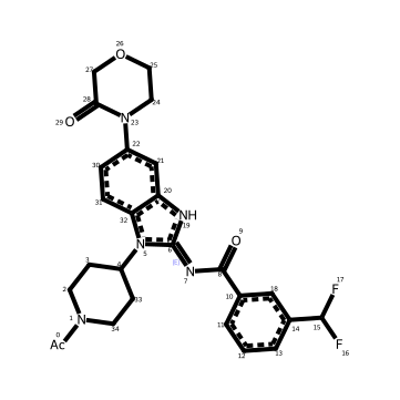 CC(=O)N1CCC(n2/c(=N/C(=O)c3cccc(C(F)F)c3)[nH]c3cc(N4CCOCC4=O)ccc32)CC1